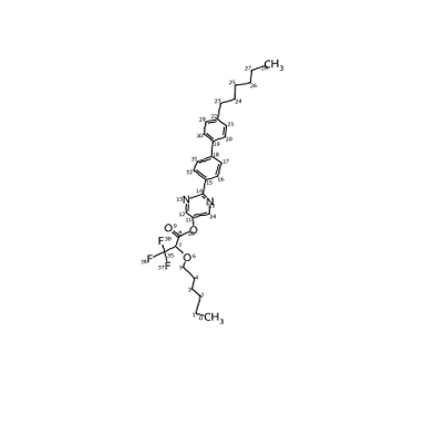 CCCCCCOC(C(=O)Oc1cnc(-c2ccc(-c3ccc(CCCCCC)cc3)cc2)nc1)C(F)(F)F